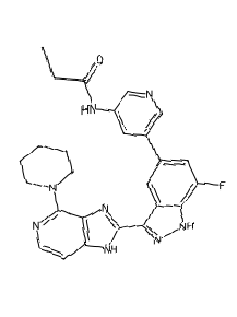 CCC(=O)Nc1cncc(-c2cc(F)c3[nH]nc(-c4nc5c(N6CCCCC6)nccc5[nH]4)c3c2)c1